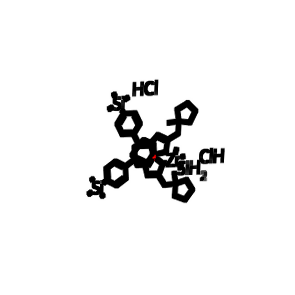 CC1(CC2=Cc3c(-c4ccc([Si](C)(C)C)cc4)cccc3[CH]2[Zr]([CH3])([CH3])(=[SiH2])[CH]2C(CC3(C)CCCC3)=Cc3c(-c4ccc([Si](C)(C)C)cc4)cccc32)CCCC1.Cl.Cl